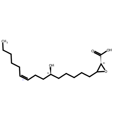 CCCCC/C=C\CC[C@@H](O)CCCCCC1O[C@H]1C(=O)O